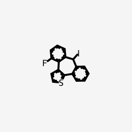 Fc1cccc2c1-c1ccsc1-c1ccccc1C2I